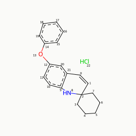 C1=CC2(CCCCC2)Nc2ccc(Oc3ccccc3)cc21.Cl